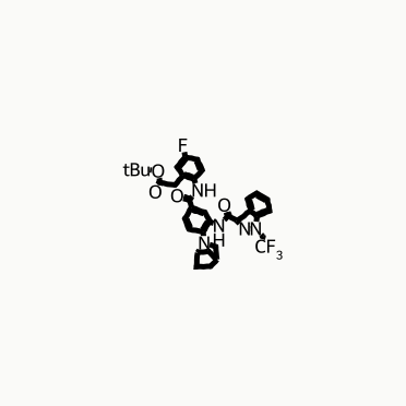 CC(C)(C)OC(=O)Cc1cc(F)ccc1NC(=O)c1ccc(N2CC3CCC2C3)c(NC(=O)c2nn(CC(F)(F)F)c3ccccc23)c1